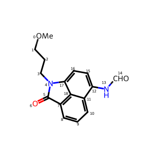 COCCCN1C(=O)c2cccc3c(NC=O)ccc1c23